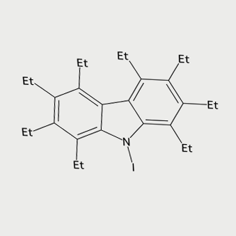 CCc1c(CC)c(CC)c2c(c1CC)c1c(CC)c(CC)c(CC)c(CC)c1n2I